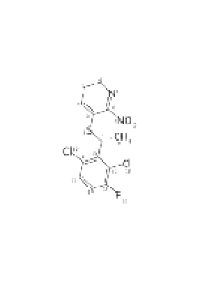 C[C@@H](SC1=CCCN=C1[N+](=O)[O-])c1c(Cl)ccc(F)c1Cl